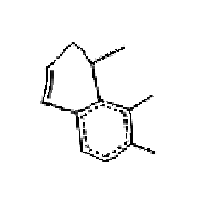 Cc1ccc2c(c1C)C(C)CC=C2